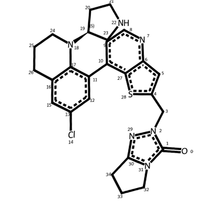 O=c1n(Cc2cc3nccc(-c4cc(Cl)cc5c4N([C@H]4CCNC4)CCC5)c3s2)nc2n1CCC2